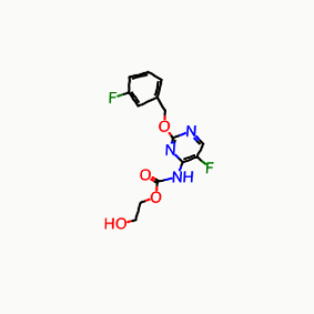 O=C(Nc1nc(OCc2cccc(F)c2)ncc1F)OCCO